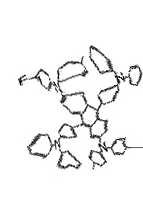 Cc1ccc(N(c2ccc(F)cc2)c2ccc3c(-c4ccc(N(c5ccccc5)c5ccccc5)cc4)c4cc(N(c5ccc(C)cc5)c5ccc(F)cc5)ccc4c(-c4ccc(N(c5ccccc5)c5ccccc5)cc4)c3c2)cc1